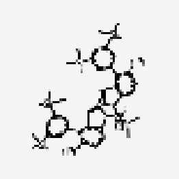 CCCc1ccc2c(c1-c1cc([Si](C)(C)C)cc([Si](C)(C)C)c1)C=C(C)[CH]2[Zr]([Cl])([Cl])([CH]1C(C)=Cc2c1ccc(CCC)c2-c1cc([Si](C)(C)C)cc([Si](C)(C)C)c1)[SiH](C)C